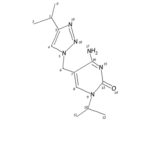 CC(C)c1cn(Cc2cn(C(C)C)c(=O)nc2N)nn1